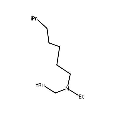 CCN(CCCCCC(C)C)CC(C)(C)C